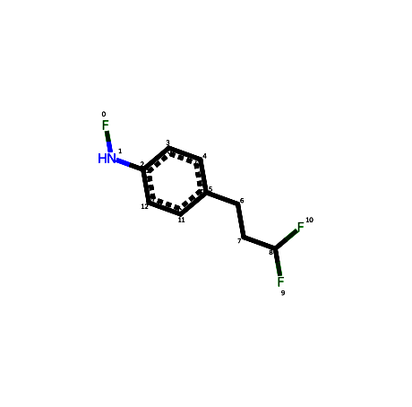 FNc1ccc(CCC(F)F)cc1